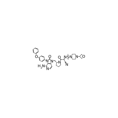 CS(C)(/N=C(\C#N)C(=O)N1CCC[C@H]1Cn1c(=O)n(-c2ccc(Oc3ccccc3)cc2)c2c(N)nccc21)N1CCN(C2COC2)CC1